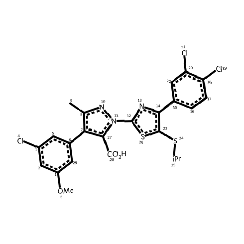 COc1cc(Cl)cc(-c2c(C)nn(-c3nc(-c4ccc(Cl)c(Cl)c4)c(SC(C)C)s3)c2C(=O)O)c1